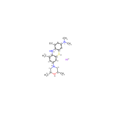 CCc1cc(N(C)C)cc2c1Nc1c(C)cc(N3CC(C)OC(C)C3)cc1S2.I